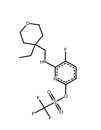 CCC1(CNc2nc(OS(=O)(=O)C(F)(F)F)ccc2F)CCOCC1